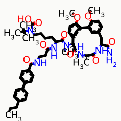 CCCc1ccc(-c2ccc(C(=O)NCCC(=O)NC(CCCCN(C(=O)O)C(C)(C)C)C(=O)N(C)[C@@H]3C(=O)N[C@@H](C)C(=O)NC(C(N)=O)Cc4ccc(OC)c(c4)-c4cc3ccc4OC)cc2)cc1